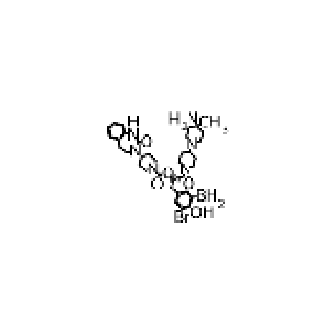 Bc1cc(C[C@@H](OC(=O)N2CCC(N3CCc4ccccc4NC3=O)CC2)C(=O)N2CCC(N3CCC(C)(N)CC3)CC2)cc(Br)c1O